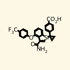 NC(=O)C1=C[SH](C2(c3ccc(C(=O)O)cc3)CC2)c2cccc(Oc3ccc(C(F)(F)F)cc3)c21